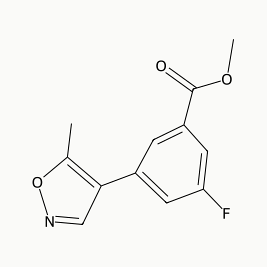 COC(=O)c1cc(F)cc(-c2cnoc2C)c1